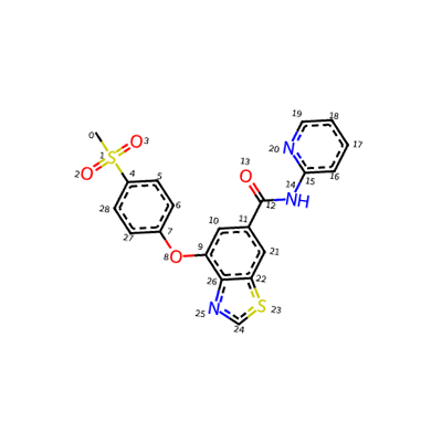 CS(=O)(=O)c1ccc(Oc2cc(C(=O)Nc3ccccn3)cc3scnc23)cc1